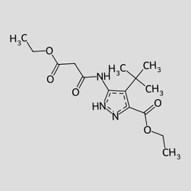 CCOC(=O)CC(=O)Nc1[nH]nc(C(=O)OCC)c1C(C)(C)C